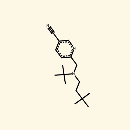 CC(C)(C)CCN(Cc1ccc(C#N)cn1)C(C)(C)C